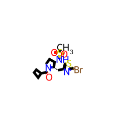 CS(=O)(=O)N[C@H]1CCN(C(=O)C2CCC2)[C@H]1Cc1csc(Br)n1